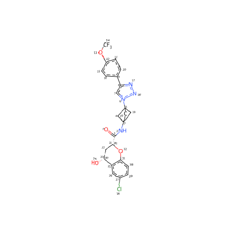 O=C(NC12CC(n3cc(-c4ccc(OC(F)(F)F)cc4)nn3)(C1)C2)[C@H]1C[C@@H](O)c2cc(Cl)ccc2O1